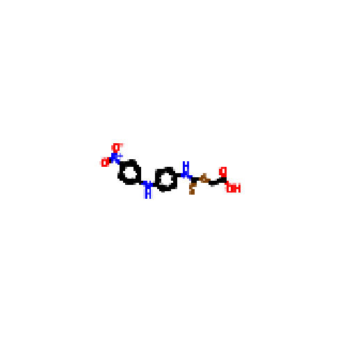 O=C(O)CSC(=S)Nc1ccc(Nc2ccc([N+](=O)[O-])cc2)cc1